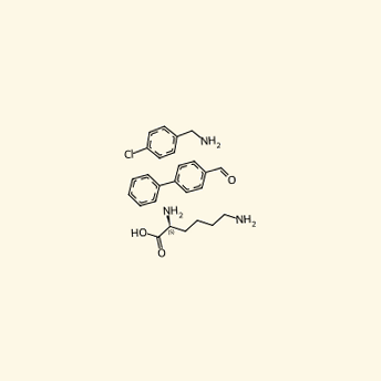 NCCCC[C@H](N)C(=O)O.NCc1ccc(Cl)cc1.O=Cc1ccc(-c2ccccc2)cc1